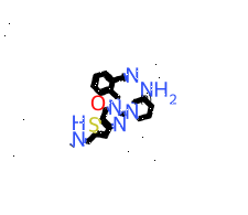 CNCc1cc2nc(N3CCC[C@@H](N)C3)n(Cc3ccccc3C#N)c(=O)c2s1